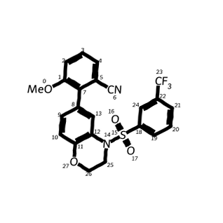 COc1cccc(C#N)c1-c1ccc2c(c1)N(S(=O)(=O)c1cccc(C(F)(F)F)c1)CCO2